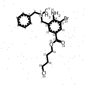 CN(Cc1ccccc1)Cc1cc(C(=O)OCCCCCl)cc(Br)c1N